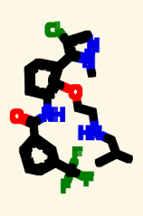 CC(C)CNCCOc1c(NC(=O)c2cccc(C(F)(F)F)c2)cccc1-c1c(Cl)cnn1C